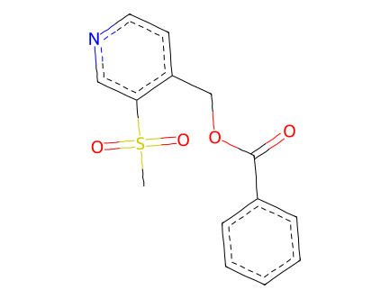 CS(=O)(=O)c1cnccc1COC(=O)c1ccccc1